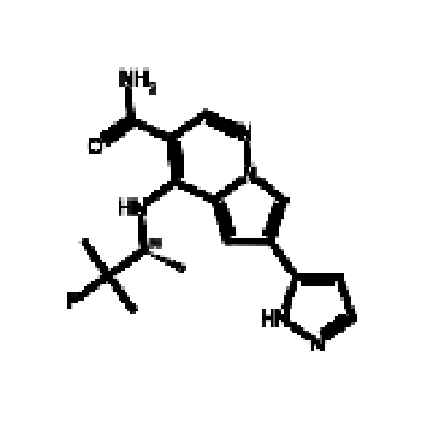 C[C@@H](Nc1c(C(N)=O)cnn2cc(-c3ccn[nH]3)cc12)C(C)(C)F